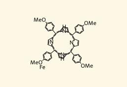 COc1ccc(-c2c3nc(c(-c4ccc(OC)cc4)c4ccc([nH]4)c(-c4ccc(OC)cc4)c4nc(c(-c5ccc(OC)cc5)c5ccc2[nH]5)C=C4)C=C3)cc1.[Fe]